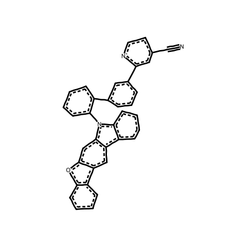 N#Cc1ccnc(-c2cccc(-c3ccccc3-n3c4ccccc4c4cc5c(cc43)oc3ccccc35)c2)c1